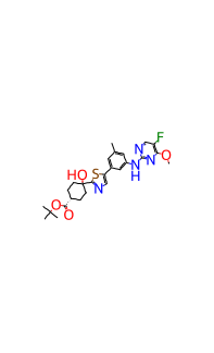 COc1nc(Nc2cc(C)cc(-c3cnc([C@]4(O)CC[C@H](C(=O)OC(C)(C)C)CC4)s3)c2)ncc1F